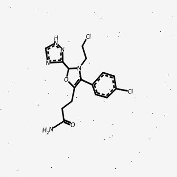 NC(=O)CCC1=C(c2ccc(Cl)cc2)N(CCCl)C(c2nc[nH]n2)O1